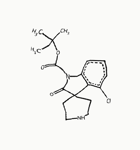 CC(C)(C)OC(=O)N1C(=O)C2(CCNCC2)c2c(Cl)cccc21